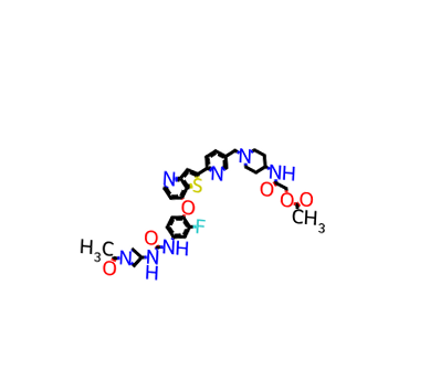 CC(=O)OCC(=O)NC1CCN(Cc2ccc(-c3cc4nccc(Oc5ccc(NC(=O)NC6CN(C(C)=O)C6)cc5F)c4s3)nc2)CC1